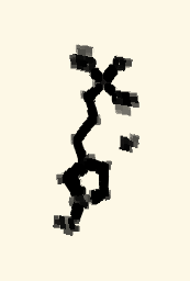 C[n+]1ccn(CCCP(=O)(O)O)c1.[Br-]